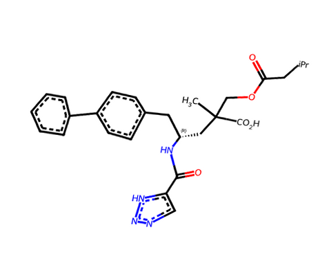 CC(C)CC(=O)OCC(C)(C[C@@H](Cc1ccc(-c2ccccc2)cc1)NC(=O)c1cnn[nH]1)C(=O)O